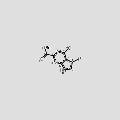 CC(C)(C)C(=O)c1nc(Cl)c2c(I)c[nH]c2n1